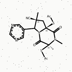 CC(=O)S[C@@]1(C)C(=O)N2C(c3cncnc3)[C@@](C)(C#N)C[C@]2(SC(C)=O)C(=O)N1C